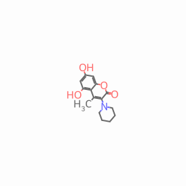 Cc1c(N2CCCCC2)c(=O)oc2cc(O)cc(O)c12